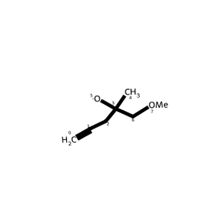 C=CCC(C)([O])COC